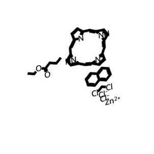 C1=Cc2cc3ccc(cc4nc(cc5ccc(cc1n2)[nH]5)C=C4)[nH]3.CCCC(=O)OCC.ClCCl.[Cl-].[Cl-].[Zn+2].c1ccc2ccccc2c1